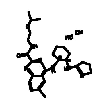 Cc1ccc2nc(C(=O)NCCOC(C)C)nc(N[C@H]3CCCC[C@H]3NC3=NCCC3)c2c1.Cl.Cl